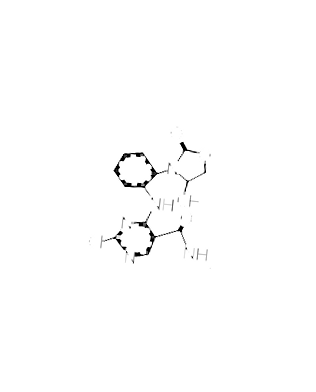 CC1COC(=O)N1c1ccccc1Nc1nc(Cl)ncc1C(N)=O